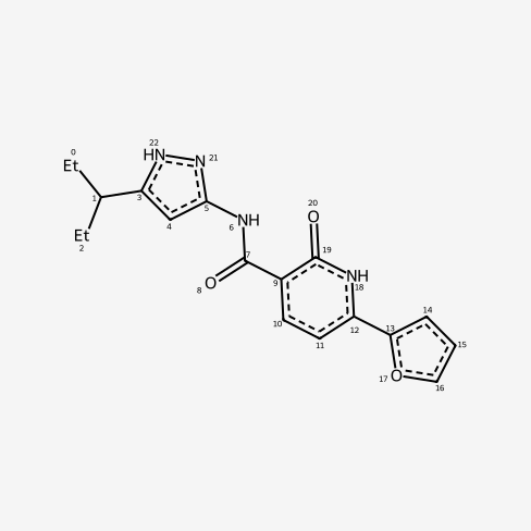 CCC(CC)c1cc(NC(=O)c2ccc(-c3ccco3)[nH]c2=O)n[nH]1